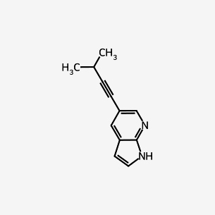 CC(C)C#Cc1cnc2[nH]ccc2c1